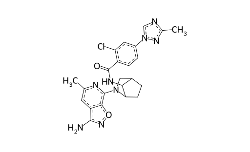 Cc1cc2c(N)noc2c(N2CC3CCC2C3NC(=O)c2ccc(-n3cnc(C)n3)cc2Cl)n1